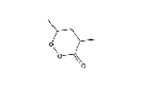 CC1CC(C)C(=O)OO1